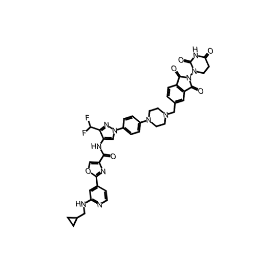 O=C1CCN(N2C(=O)c3ccc(CN4CCN(c5ccc(-n6cc(NC(=O)c7coc(-c8ccnc(NCC9CC9)c8)n7)c(C(F)F)n6)cc5)CC4)cc3C2=O)C(=O)N1